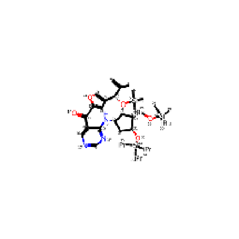 C=C(C)[C@H](O[Si](C)(C)C(C)(C)C)c1coc(C(=O)c2cncnc2N[C@@H]2C[C@H](CO[Si](C)(C)C(C)(C)C)[C@@H](O[Si](C(C)C)(C(C)C)C(C)C)C2)c1